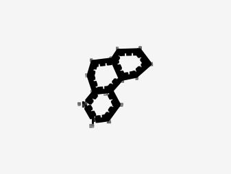 c1ccc2c(c1)ccc1npccc12